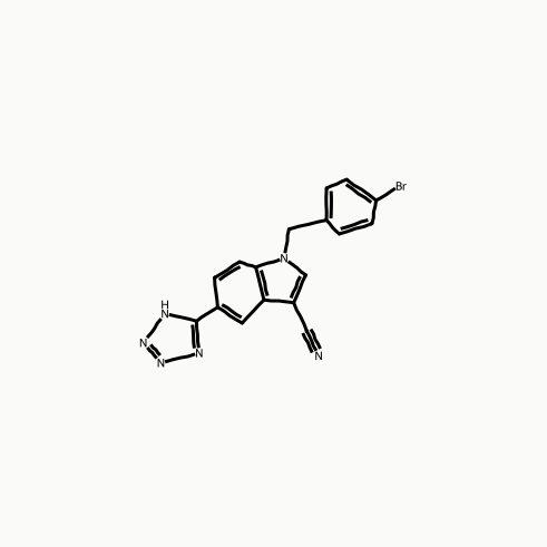 N#Cc1cn(Cc2ccc(Br)cc2)c2ccc(-c3nnn[nH]3)cc12